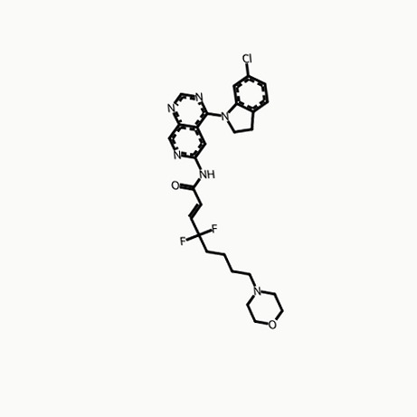 O=C(C=CC(F)(F)CCCCN1CCOCC1)Nc1cc2c(N3CCc4ccc(Cl)cc43)ncnc2cn1